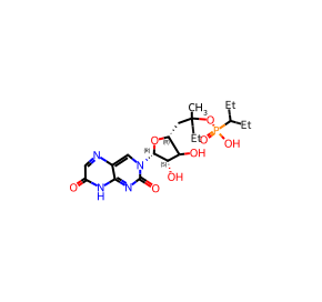 CCC(CC)P(=O)(O)OC(C)(CC)C[C@H]1O[C@@H](n2cc3ncc(=O)[nH]c3nc2=O)[C@@H](O)C1O